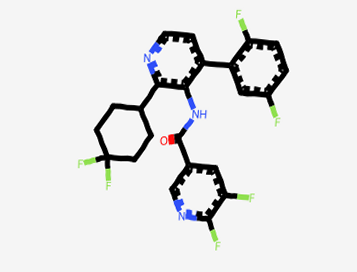 O=C(Nc1c(-c2cc(F)ccc2F)ccnc1C1CCC(F)(F)CC1)c1cnc(F)c(F)c1